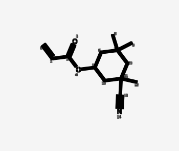 C=CC(=O)OC1CC(C)(C)CC(C)(C#N)C1